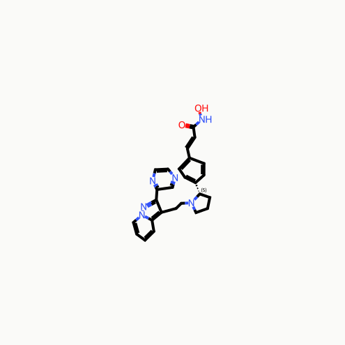 O=C(C=Cc1ccc([C@@H]2CCCN2CCc2c(-c3cnccn3)nn3ccccc23)cc1)NO